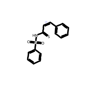 O=S(=O)(NC(=S)/C=C\c1ccccc1)c1ccccc1